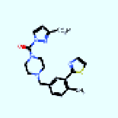 Cc1ccc(CN2CCN(C(=O)n3ccc(C(=O)O)n3)CC2)cc1-c1nccs1